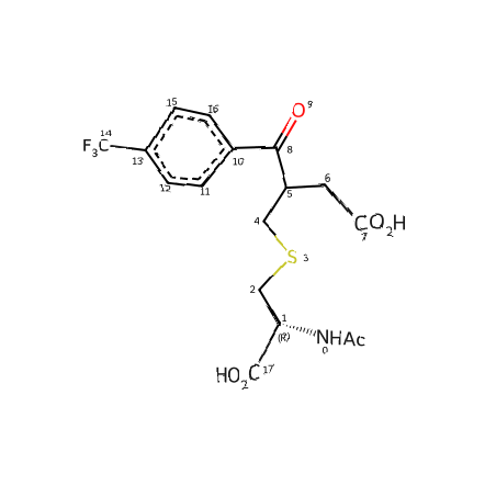 CC(=O)N[C@@H](CSCC(CC(=O)O)C(=O)c1ccc(C(F)(F)F)cc1)C(=O)O